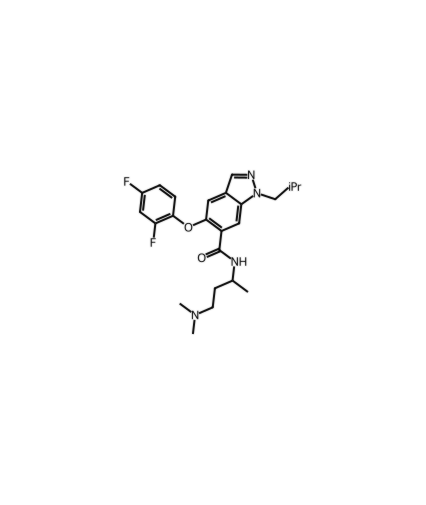 CC(C)Cn1ncc2cc(Oc3ccc(F)cc3F)c(C(=O)NC(C)CCN(C)C)cc21